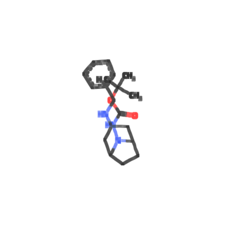 CC(C)(C)OC(=O)NN1C2CCC1CC(NCc1ccccc1)C2